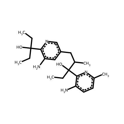 CCC(O)(CC)c1ncc(CC(C)C(O)(CC)c2nc(C)ccc2N)cc1N